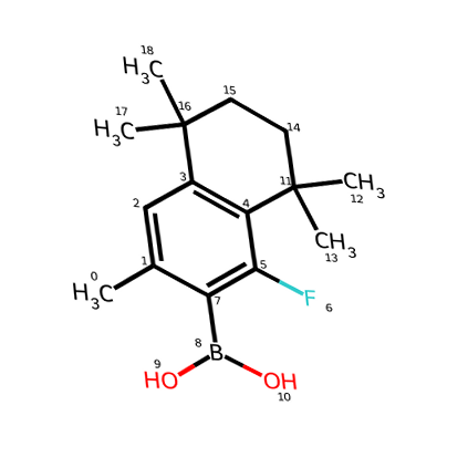 Cc1cc2c(c(F)c1B(O)O)C(C)(C)CCC2(C)C